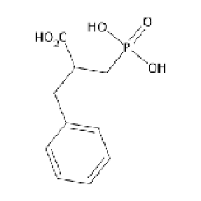 O=C(O)C(Cc1ccccc1)CP(=O)(O)O